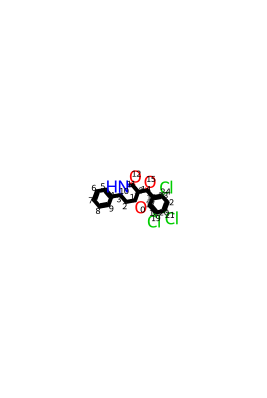 O=C1CC(c2ccccc2)NC(=O)C1C(=O)c1cc(Cl)c(Cl)cc1Cl